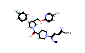 C=N/C(=C\C=C(/N)OC)N1CCC(C(=O)N2C[C@H](c3ccc(Cl)cc3)[C@@](C)(COc3ccc(Cl)cn3)C2)CC1